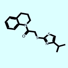 CC(C)c1csc(SCC(=O)N2CCCc3ccccc32)n1